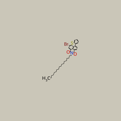 CCCCCCCCCCCCCCCCCCn1c(=O)c2ccc3c4ccccc4sc4c(Br)cc(c1=O)c2c43